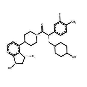 Cc1ccc([C@H](CN2CCC(O)CC2)C(=O)N2CCN(c3ncnc4c3[C@H](C)C[C@H]4O)CC2)cc1F